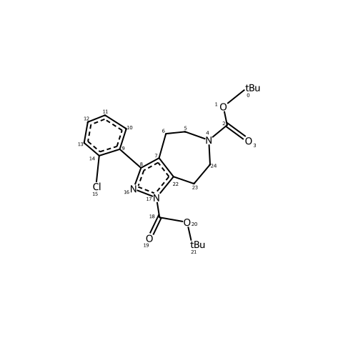 CC(C)(C)OC(=O)N1CCc2c(-c3ccccc3Cl)nn(C(=O)OC(C)(C)C)c2CC1